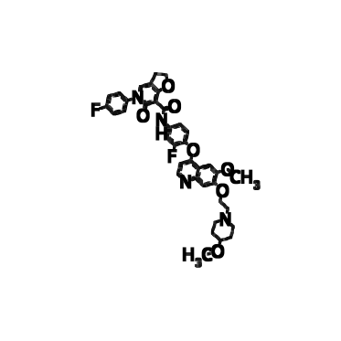 COc1cc2c(Oc3ccc(NC(=O)c4c5c(cn(-c6ccc(F)cc6)c4=O)CCO5)cc3F)ccnc2cc1OCCN1CCC(OC)CC1